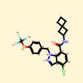 O=C(NC1CC2(CCC2)C1)c1ccc(Cl)c2cnn(Cc3ccc(OC(F)(F)F)cc3)c12